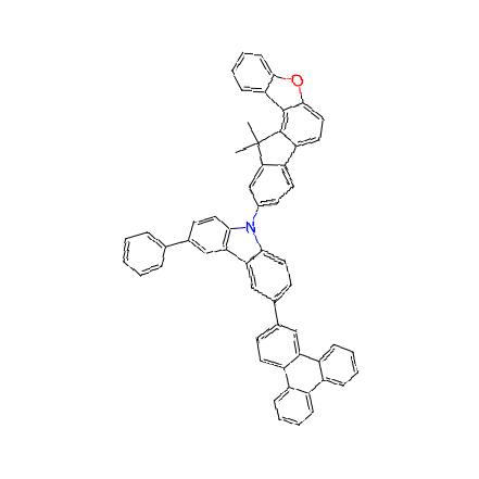 CC1(C)c2cc(-n3c4ccc(-c5ccccc5)cc4c4cc(-c5ccc6c7ccccc7c7ccccc7c6c5)ccc43)ccc2-c2ccc3oc4ccccc4c3c21